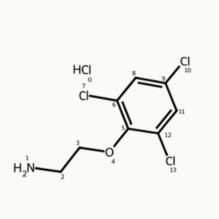 Cl.NCCOc1c(Cl)cc(Cl)cc1Cl